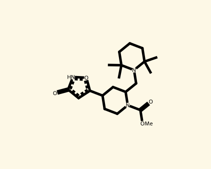 COC(=O)N1CCC(c2cc(=O)[nH]o2)CC1CN1C(C)(C)CCCC1(C)C